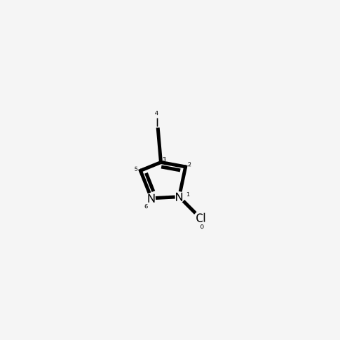 Cln1cc(I)cn1